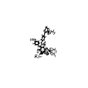 CN1C(=O)/C(=C(/NCc2ccc(C3CCCN3C)cc2)Sc2ccc(O)cc2)C(=N)N(CC(C)(C)C)C1=O